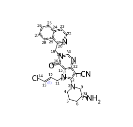 N#Cc1c(N2CCC[C@H](N)C2)n(C/C=C/Cl)c2c(=O)n(Cc3nccc4ccccc34)cnc12